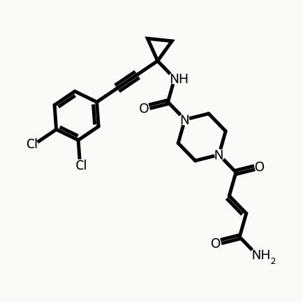 NC(=O)C=CC(=O)N1CCN(C(=O)NC2(C#Cc3ccc(Cl)c(Cl)c3)CC2)CC1